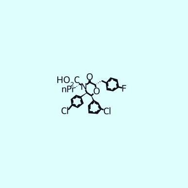 CCC[C@H](C(=O)O)N1C(=O)[C@H](Cc2ccc(F)cc2)O[C@@H](c2cccc(Cl)c2)[C@H]1c1ccc(Cl)cc1